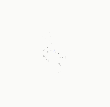 CCC#CC[C@H](C)[C@H](O)/C=C/[C@H]1[C@H](OC2CCCCO2)CC(=O)[C@@H]1CC(=O)O